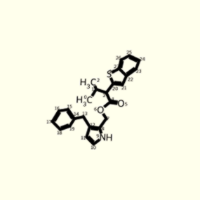 CC(C)C(C(=O)OCc1[nH]ccc1Cc1ccccc1)c1cc2ccccc2s1